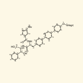 CCCCCCCOc1ccc(-c2cnc(-c3ccc(C[C@H](NC(=O)c4cnn(C(C)(C)C)c4)C(=O)NC(C(=O)O)C(O)c4ccccc4)cc3)nc2)cc1